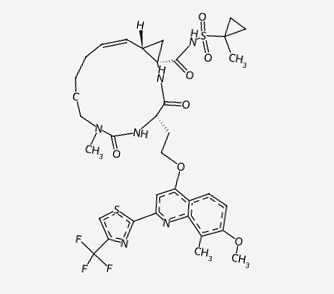 COc1ccc2c(OCC[C@@H]3NC(=O)N(C)CCCC/C=C\[C@@H]4C[C@@]4(C(=O)NS(=O)(=O)C4(C)CC4)NC3=O)cc(-c3nc(C(F)(F)F)cs3)nc2c1C